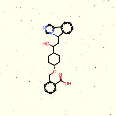 O=C(O)c1ccccc1CO[C@H]1CC[C@H](C(O)CC2c3ccccc3-c3cncn32)CC1